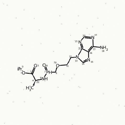 CC(C)OC(=O)[C@H](C)N[PH](=O)COCCn1cnc2c(N)ncnc21